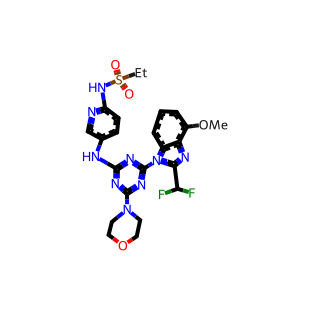 CCS(=O)(=O)Nc1ccc(Nc2nc(N3CCOCC3)nc(-n3c(C(F)F)nc4c(OC)cccc43)n2)cn1